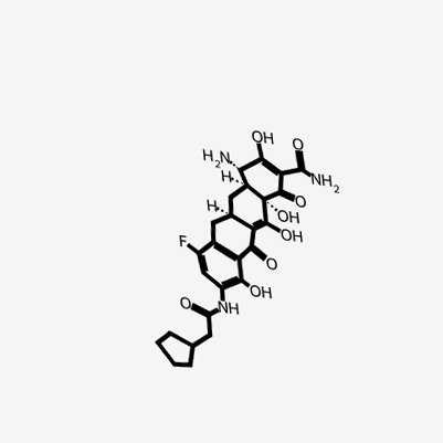 NC(=O)C1=C(O)[C@@H](N)[C@@H]2C[C@@H]3Cc4c(F)cc(NC(=O)CC5CCCC5)c(O)c4C(=O)C3=C(O)[C@]2(O)C1=O